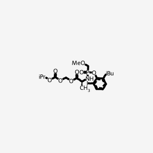 CCC(C)c1cccc(I)c1OP(=O)(COC)N[C@@H](C)C(=O)OCOC(=O)OC(C)C